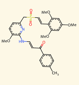 COc1cc(OC)c(/C=C/S(=O)(=O)Cc2ccc(OC)c(N/C=C/C(=O)c3ccc(C)cc3)n2)c(OC)c1